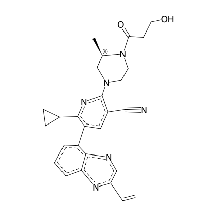 C=Cc1cnc2c(-c3cc(C#N)c(N4CCN(C(=O)CCO)[C@H](C)C4)nc3C3CC3)cccc2n1